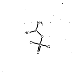 NP(O)OP(=O)(Cl)Cl